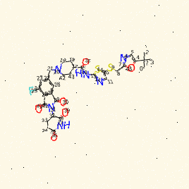 CC(C)(C)c1cnc(CSc2cnc(NC(=O)C3CCN(Cc4cc(F)c5c(c4)C(=O)N(C4CCC(=O)NC4=O)C5=O)CC3)s2)o1